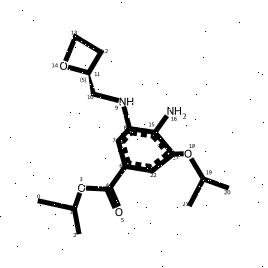 CC(C)OC(=O)c1cc(NC[C@@H]2CCO2)c(N)c(OC(C)C)c1